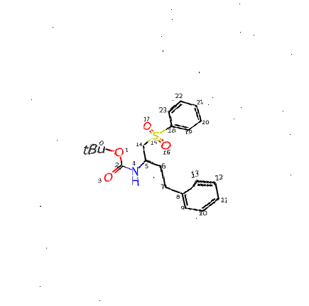 CC(C)(C)OC(=O)NC(CCc1ccccc1)CS(=O)(=O)c1ccccc1